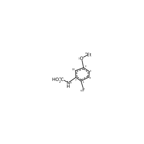 CCOc1ccc(F)c(NC(=O)O)c1